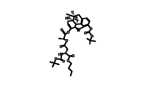 CCCCOC(=O)[C@H](CC(=O)O[C@@H](C)C(=O)OC1=CC[C@@]2(O)[C@H]3Cc4ccc(OC(=O)OC(C)(C)C)c5c4[C@@]2(CCN3C)[C@H]1O5)NC(=O)OC(C)(C)C